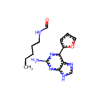 CCCCCNC=O.Nc1nc(-c2ccco2)c2nc[nH]c2n1